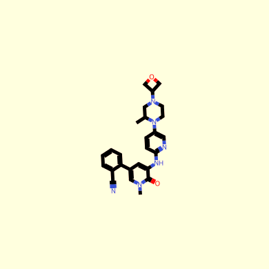 CC1CN(C2COC2)CCN1c1ccc(Nc2cc(-c3ccccc3C#N)cn(C)c2=O)nc1